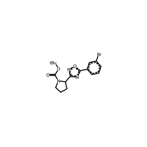 CC(C)(C)OC(=O)N1CCCC1c1noc(-c2cccc(Br)c2)n1